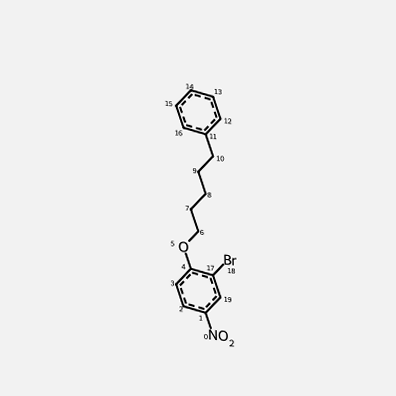 O=[N+]([O-])c1ccc(OCCCCCc2ccccc2)c(Br)c1